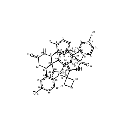 Cc1ccc(F)cc1[C@@H]1NC(=O)C[C@H](c2cc(Cl)ccc2OC2(C(=O)NS(=O)(=O)c3ccc(F)cc3)CCC2)[C@@]12C(=O)Nc1cc(Cl)ccc12